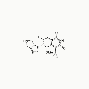 COc1c(-c2csc3c2CNC3)c(F)cn2c(=O)[nH]c(=O)c(C3CC3)c12